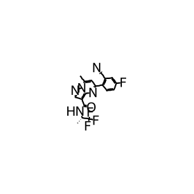 Cc1cc(-c2ccc(F)cc2C#N)nc2c(C(=O)N[C@@H](C)C(F)(F)F)cnn12